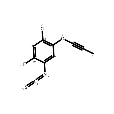 CC#COc1cc(N=C=S)c(F)cc1Cl